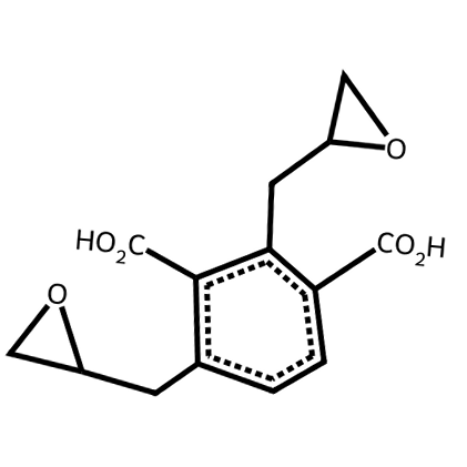 O=C(O)c1ccc(CC2CO2)c(C(=O)O)c1CC1CO1